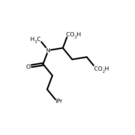 CC(C)CCC(=O)N(C)C(CCC(=O)O)C(=O)O